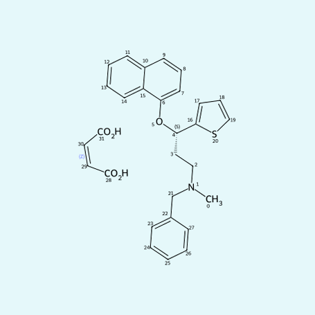 CN(CC[C@H](Oc1cccc2ccccc12)c1cccs1)Cc1ccccc1.O=C(O)/C=C\C(=O)O